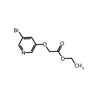 CCOC(=O)COc1cncc(Br)c1